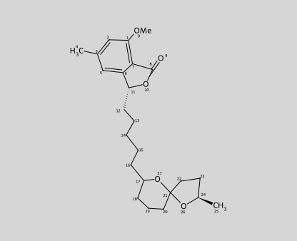 COc1cc(C)cc2c1C(=O)O[C@@H]2CCCCCC1CCCC2(CC[C@@H](C)O2)O1